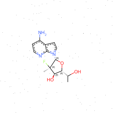 CC(O)[C@H]1O[C@@H](n2ccc3c(N)ccnc32)[C@](C)(F)[C@@H]1O